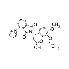 CCOc1cc(C(CC(=O)O)N2C(=O)c3cccc(-n4cccc4)c3C2=O)ccc1OC